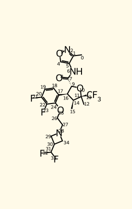 Cc1nocc1NC(=O)[C@@H]1O[C@@](C)(C(F)(F)F)[C@@H](C)[C@H]1c1ccc(F)c(F)c1OCCN1CC(C(F)F)C1